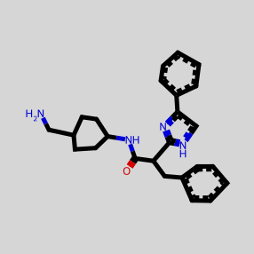 NCC1CCC(NC(=O)C(Cc2ccccc2)c2nc(-c3ccccc3)c[nH]2)CC1